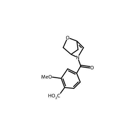 COc1cc(C(=O)N2C=C3CC2CO3)ccc1C(=O)O